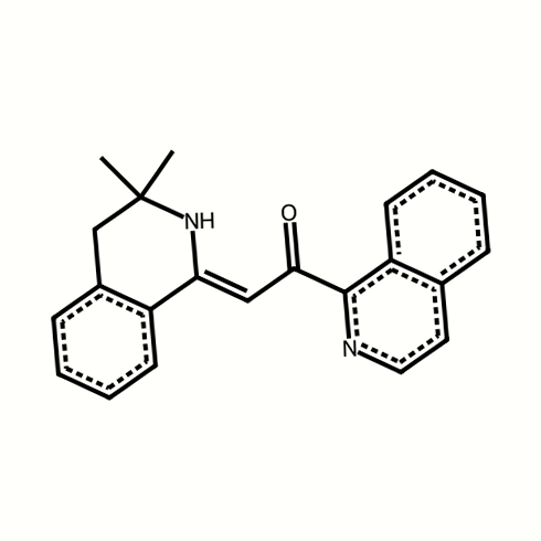 CC1(C)Cc2ccccc2C(=CC(=O)c2nccc3ccccc23)N1